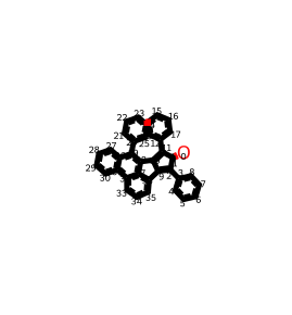 O=C1C(c2ccccc2)=C2C(=C1c1ccccc1)c1c(-c3ccccc3)c3ccccc3c3cccc2c13